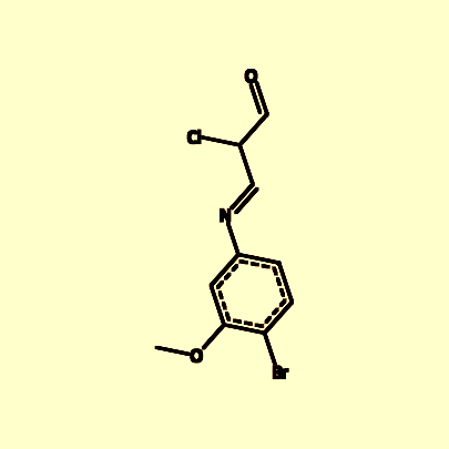 COc1cc(/N=C/C(Cl)C=O)ccc1Br